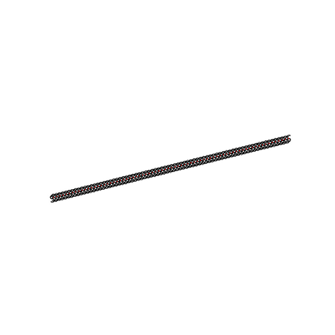 S=S=S=S=S=S=S=S=S=S=S=S=S=S=S=S=S=S=S=S=S=S=S=S=S=S=S=S=S=S=S=S=S=S=S=S=S=S=S=S=S=S=S=S=S=S=S=S=S=S=S=S=S=S=S=S=S=S=S=S=S=S=S=S=S=S=S=S=S=S=S=S=S=S=S=S=S=S=S=S=S=S=S=S=S=S=S=S=S=S=S=S=S=S=S=S=S=S=S=S=S=S=S=S=S=S=S=S=S=S=S=S=S=S=S=S=S=S=S=S=S=S=S=S=S=S=S=S=S=S=S=S=S=S=S=S=S=S=S=S=S=S=S=S=S=S=S=S